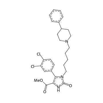 COC(=O)c1[nH]c(=O)n(CCCCCN2CCC(c3ccccc3)CC2)c1-c1ccc(Cl)c(Cl)c1